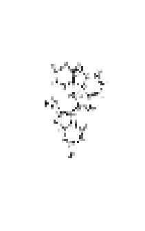 Nc1nn2cc(F)cnc2c1C(=O)NC1(c2ccncc2)C=CC=NC1O